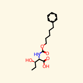 CC[C@@H](O)[C@@H](NC(=O)OCCCCCc1ccccc1)C(=O)O